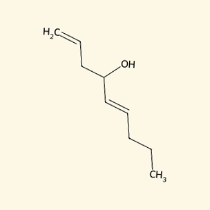 C=CCC(O)C=CCCC